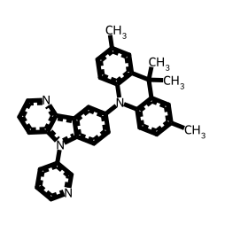 Cc1ccc2c(c1)C(C)(C)c1cc(C)ccc1N2c1ccc2c(c1)c1ncccc1n2-c1cccnc1